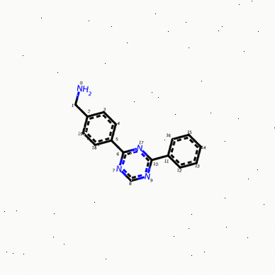 NCc1ccc(-c2ncnc(-c3ccccc3)n2)cc1